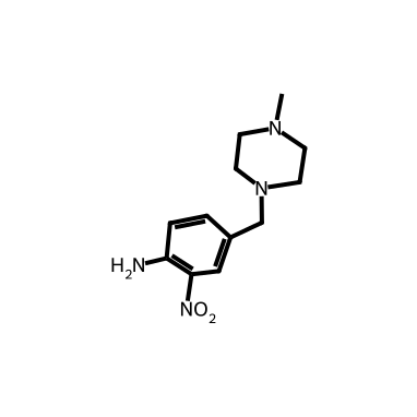 CN1CCN(Cc2ccc(N)c([N+](=O)[O-])c2)CC1